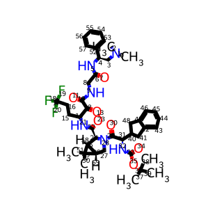 CN(C)C[C@@H](NC(=O)CNC(=O)C(=O)C(CCC(F)(F)F)NC(=O)[C@@H]1[C@@H]2[C@H](CN1C(=O)[C@@H](NC(=O)OC(C)(C)C)C1Cc3ccccc3C1)C2(C)C)c1ccccc1